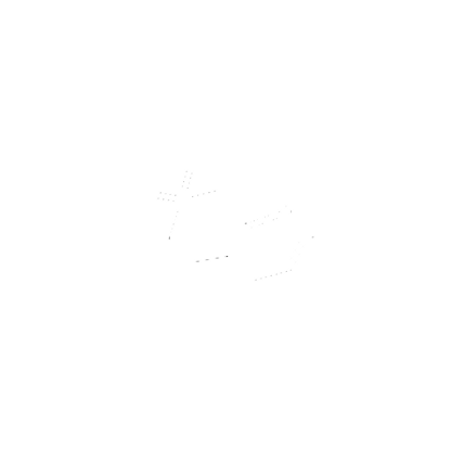 O=S1(=O)C=Cc2cccnc2C1